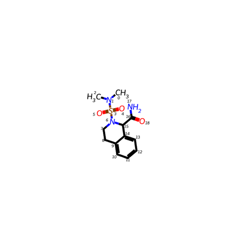 CN(C)S(=O)(=O)N1CCc2c[c]ccc2C1C(N)=O